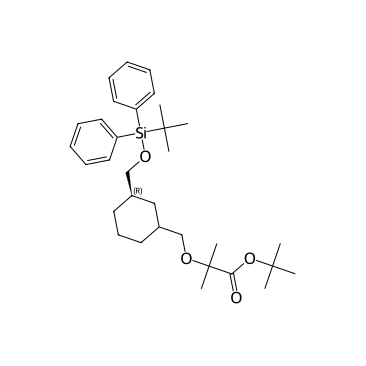 CC(C)(C)OC(=O)C(C)(C)OCC1CCC[C@@H](CO[Si](c2ccccc2)(c2ccccc2)C(C)(C)C)C1